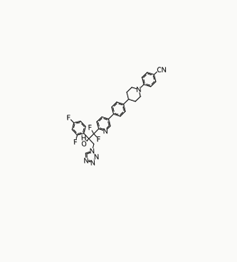 N#Cc1ccc(N2CCC(c3ccc(-c4ccc(C(F)(F)[C@](O)(Cn5cnnn5)c5ccc(F)cc5F)nc4)cc3)CC2)cc1